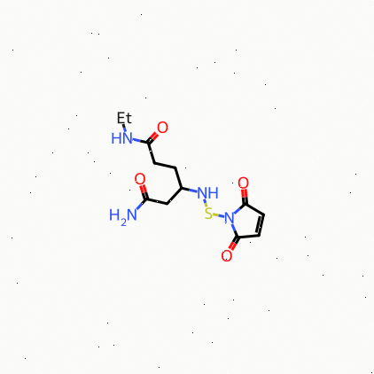 CCNC(=O)CCC(CC(N)=O)NSN1C(=O)C=CC1=O